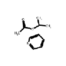 CC(=O)OC(C)C.c1ccncc1